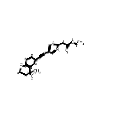 CCOC(=O)Cc1ncc(C#Cc2ccc3c(c2)C(C)(C)CCO3)cn1